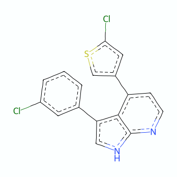 Clc1cccc(-c2c[nH]c3nccc(-c4csc(Cl)c4)c23)c1